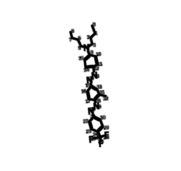 CCCCN(CCCC)c1ccc(/N=N/c2ccc(/N=N/c3ccc(C(F)(F)F)cc3)c(C)c2)cc1